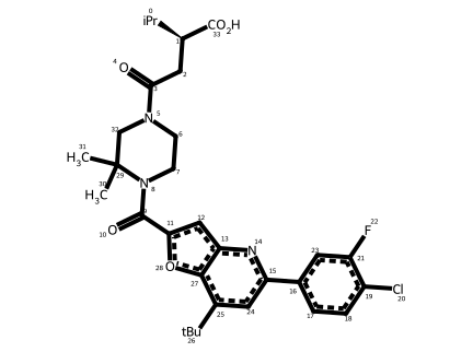 CC(C)[C@H](CC(=O)N1CCN(C(=O)c2cc3nc(-c4ccc(Cl)c(F)c4)cc(C(C)(C)C)c3o2)C(C)(C)C1)C(=O)O